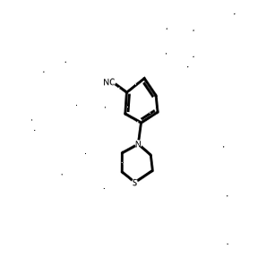 N#Cc1cccc(N2CCSCC2)c1